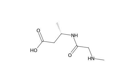 CNCC(=O)N[C@@H](C)CC(=O)O